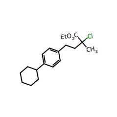 CCOC(=O)C(C)(Cl)CCc1ccc(C2CCCCC2)cc1